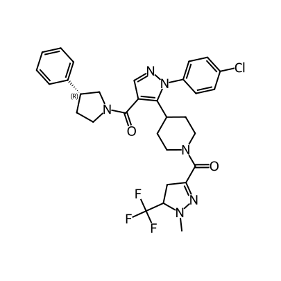 CN1N=C(C(=O)N2CCC(c3c(C(=O)N4CC[C@H](c5ccccc5)C4)cnn3-c3ccc(Cl)cc3)CC2)CC1C(F)(F)F